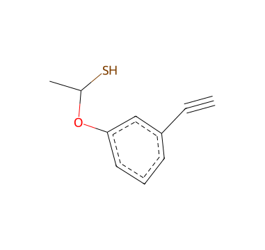 C#Cc1cccc(OC(C)S)c1